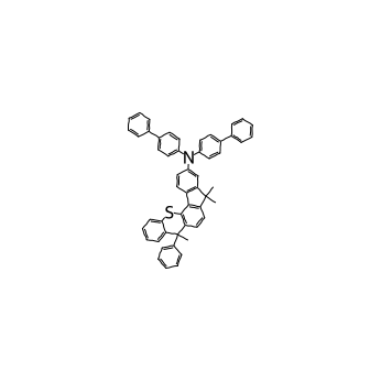 CC1(C)c2cc(N(c3ccc(-c4ccccc4)cc3)c3ccc(-c4ccccc4)cc3)ccc2-c2c1ccc1c2Sc2ccccc2C1(C)c1ccccc1